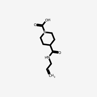 C=CCNC(=O)C1CCN(C(=O)O)CC1